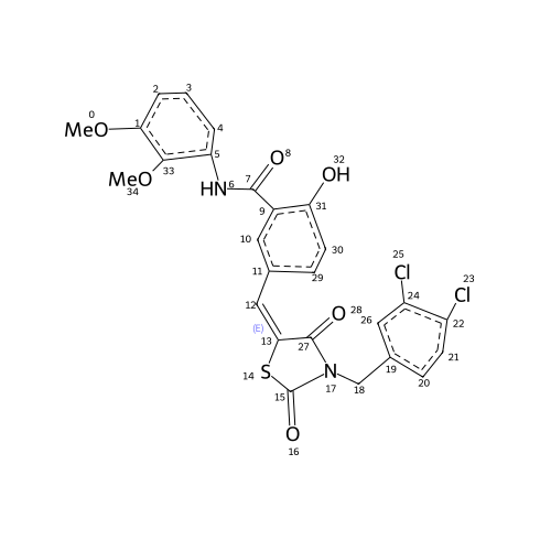 COc1cccc(NC(=O)c2cc(/C=C3/SC(=O)N(Cc4ccc(Cl)c(Cl)c4)C3=O)ccc2O)c1OC